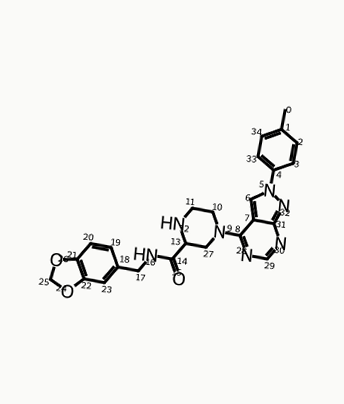 Cc1ccc(-n2cc3c(N4CCNC(C(=O)NCc5ccc6c(c5)OCO6)C4)ncnc3n2)cc1